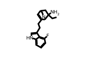 CCC1(N)CC2C=CC1N(CCc1c[nH]c3cccc(F)c13)C2